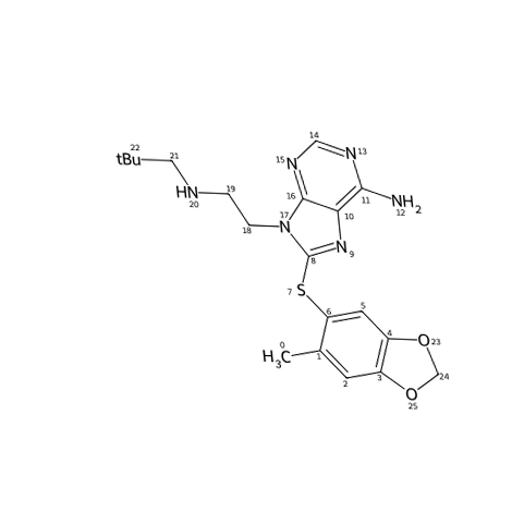 Cc1cc2c(cc1Sc1nc3c(N)ncnc3n1CCNCC(C)(C)C)OCO2